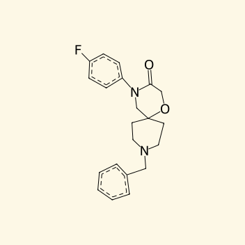 O=C1COC2(CCN(Cc3ccccc3)CC2)CN1c1ccc(F)cc1